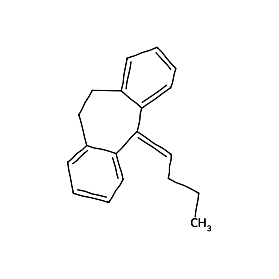 CCCC=C1c2ccccc2CCc2ccccc21